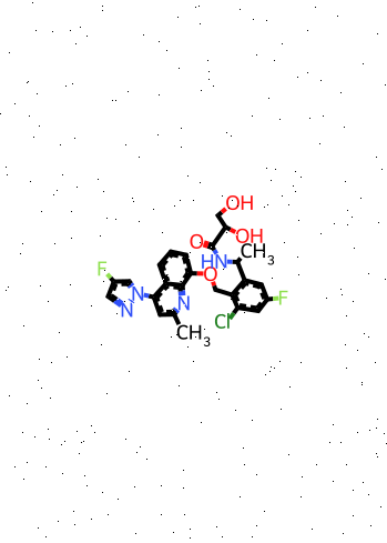 Cc1cc(-n2cc(F)cn2)c2cccc(OCc3c(Cl)cc(F)cc3C(C)NC(=O)C(O)CO)c2n1